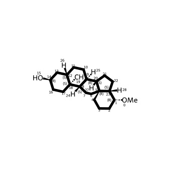 CO[C@@H]1CCC[C@@]23CC[C@H]4[C@@H](CC[C@H]5C[C@H](O)CC[C@@]54C)[C@@H]2CC[C@H]13